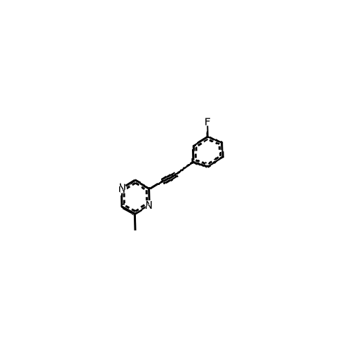 Cc1cncc(C#Cc2cccc(F)c2)n1